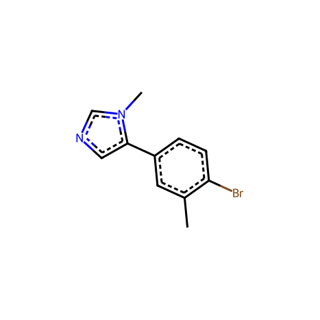 Cc1cc(-c2cncn2C)ccc1Br